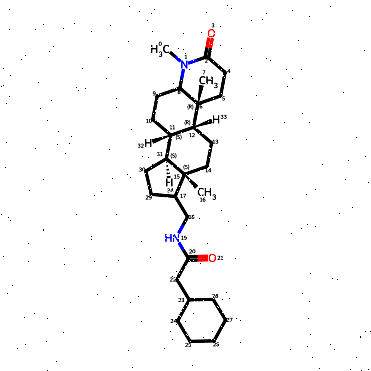 CN1C(=O)CC[C@@]2(C)C1CC[C@@H]1[C@H]2CC[C@]2(C)C(CNC(=O)CC3CCCCC3)CC[C@@H]12